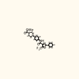 COC(=O)C1CCN(c2ccc(NC(=O)c3nc(-c4ccccc4)oc3C(F)(F)F)cn2)CC1